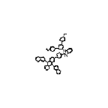 C=Cc1ccc(-c2cc(-c3ccc(C=C)cc3)cc(-n3c(-c4ccc(-c5ccc6c(-c7ccc8ccccc8c7)c7ccccc7c(-c7ccc8ccccc8c7)c6c5)cc4)nc4ccccc43)c2)cc1